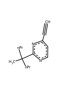 C#Cc1ccnc(C(C)(CCC)CCC)n1